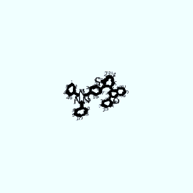 c1ccc(-c2nc(-c3ccccc3)nc(-c3ccc4c(c3)sc3cccc(-c5cc6c7ccccc7oc6c6ccccc56)c34)n2)cc1